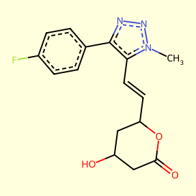 Cn1nnc(-c2ccc(F)cc2)c1/C=C/C1CC(O)CC(=O)O1